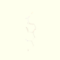 CC(C)CC(N)Cc1ccc(N=C=S)cc1